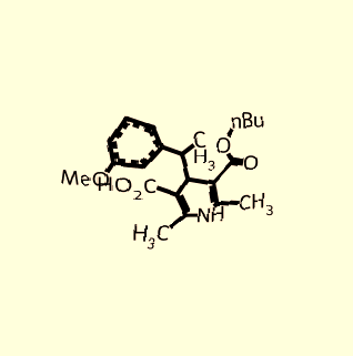 CCCCOC(=O)C1=C(C)NC(C)=C(C(=O)O)C1C(C)c1cccc(OC)c1